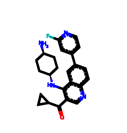 N[C@H]1CC[C@H](Nc2c(C(=O)C3CC3)cnc3ccc(-c4ccnc(F)c4)cc23)CC1